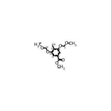 COCOc1cc(C(=O)OC)cc(OCOC)c1I